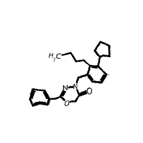 CCCCc1c(C2CCCC2)[c]ccc1CN1N=C(c2ccccc2)OCC1=O